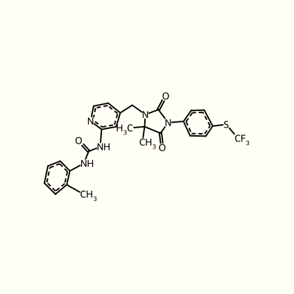 Cc1ccccc1NC(=O)Nc1cc(CN2C(=O)N(c3ccc(SC(F)(F)F)cc3)C(=O)C2(C)C)ccn1